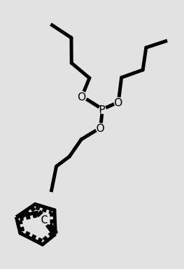 CCCCOP(OCCCC)OCCCC.c1cc2ccc1cc2